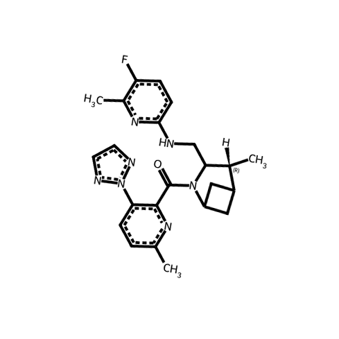 Cc1ccc(-n2nccn2)c(C(=O)N2C3CC(C3)[C@@H](C)C2CNc2ccc(F)c(C)n2)n1